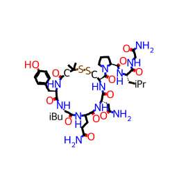 CC[C@H](C)[C@@H]1NC(=O)[C@@H](Cc2ccc(O)cc2)NC(=O)CC(C)(C)SSC[C@@H](C(=O)N2CCC[C@H]2C(=O)N[C@@H](CC(C)C)C(=O)NCC(N)=O)NC(=O)[C@H](CC(N)=O)NC(=O)C(CCC(N)=O)NC1=O